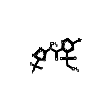 CCS(=O)(=O)c1cc(Br)cnc1C(=O)N(C)c1nnc(C(F)(F)F)s1